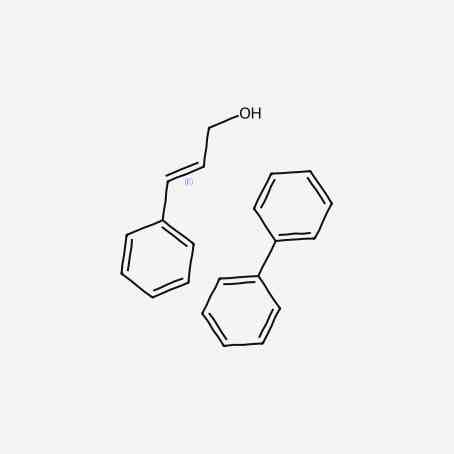 OC/C=C/c1ccccc1.c1ccc(-c2ccccc2)cc1